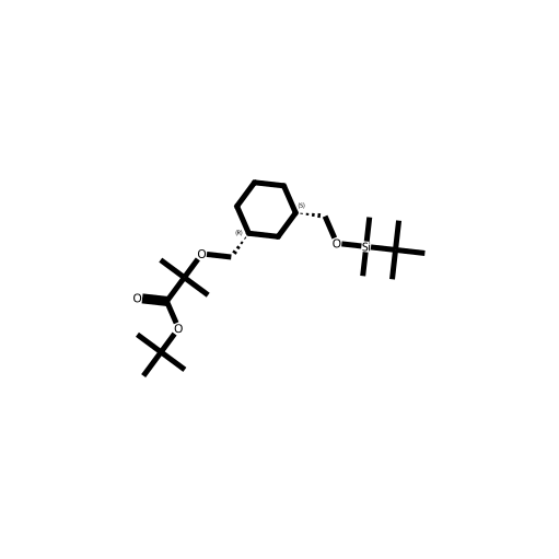 CC(C)(C)OC(=O)C(C)(C)OC[C@@H]1CCC[C@H](CO[Si](C)(C)C(C)(C)C)C1